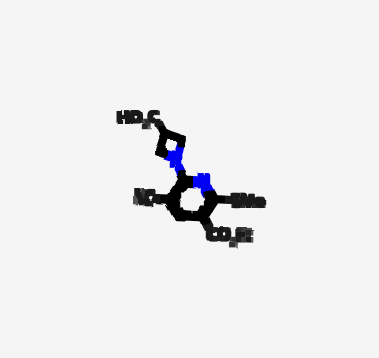 CCOC(=O)c1cc(C#N)c(N2CC(C(=O)O)C2)nc1SC